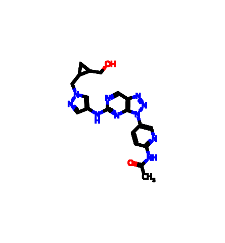 CC(=O)Nc1ccc(-n2nnc3cnc(Nc4cnn(CC5CC5CO)c4)nc32)cn1